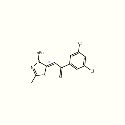 CCCCN1N=C(C)S/C1=C\C(=O)c1cc(Cl)cc(Cl)c1